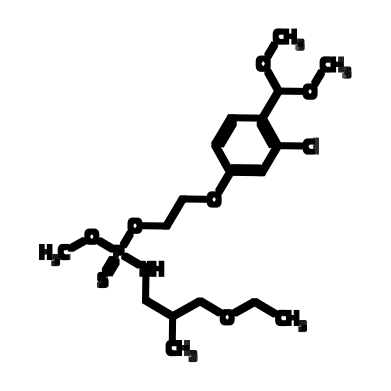 CCOCC(C)CNP(=S)(OC)OCCOc1ccc(C(OC)OC)c(Cl)c1